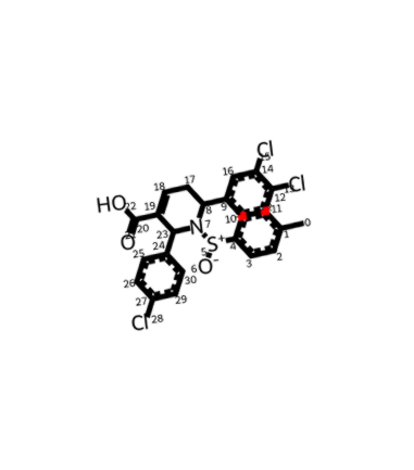 Cc1ccc([S+]([O-])N2C(c3ccc(Cl)c(Cl)c3)CC=C(C(=O)O)C2c2ccc(Cl)cc2)cc1